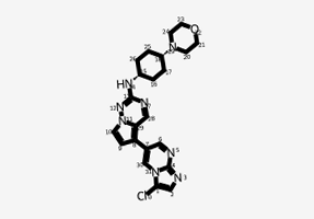 Clc1cnc2ncc(-c3ccn4nc(N[C@H]5CC[C@@H](N6CCOCC6)CC5)ncc34)cn12